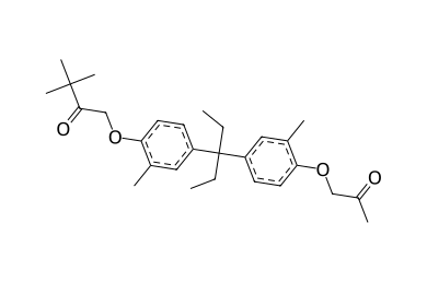 CCC(CC)(c1ccc(OCC(C)=O)c(C)c1)c1ccc(OCC(=O)C(C)(C)C)c(C)c1